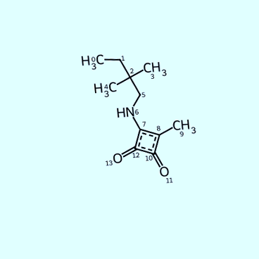 CCC(C)(C)CNc1c(C)c(=O)c1=O